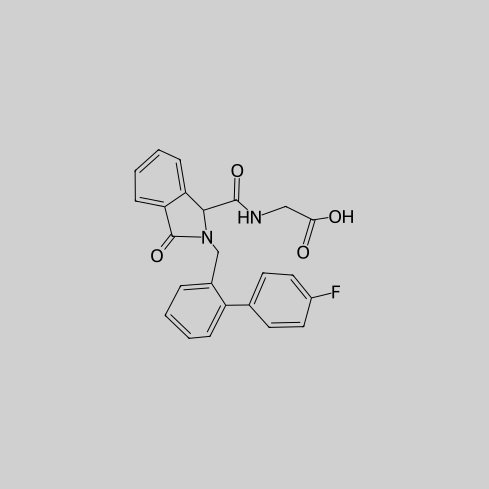 O=C(O)CNC(=O)C1c2ccccc2C(=O)N1Cc1ccccc1-c1ccc(F)cc1